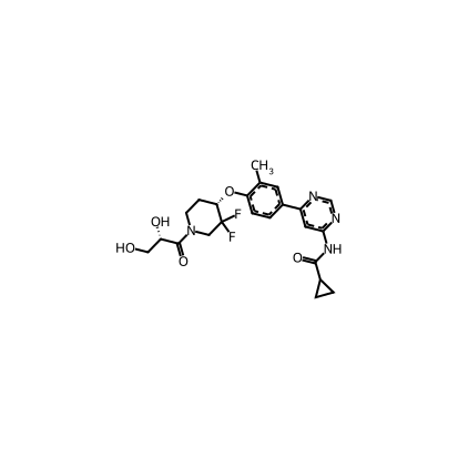 Cc1cc(-c2cc(NC(=O)C3CC3)ncn2)ccc1O[C@H]1CCN(C(=O)[C@@H](O)CO)CC1(F)F